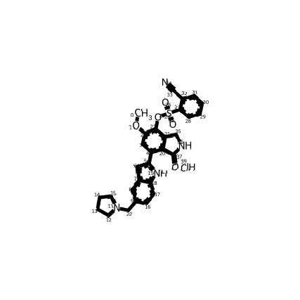 COc1cc(-c2cc3cc(CN4CCCC4)ccc3[nH]2)c2c(c1OS(=O)(=O)c1ccccc1C#N)CNC2=O.Cl